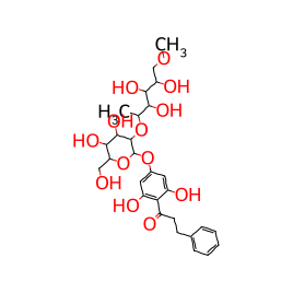 COCC(O)C(O)C(O)C(C)OC1C(Oc2cc(O)c(C(=O)CCc3ccccc3)c(O)c2)OC(CO)C(O)C1O